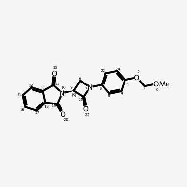 COCOc1ccc(N2C[C@H](N3C(=O)c4ccccc4C3=O)C2=O)cc1